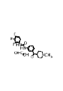 CN1CCC(C(=O)c2cccc(NC(=O)Nc3ccc(F)c(F)c3F)c2)CC1.O=CO